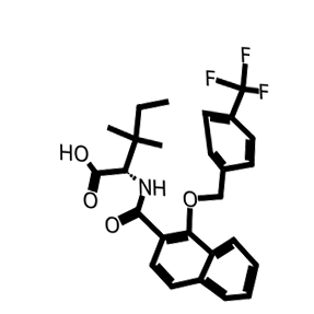 CCC(C)(C)[C@H](NC(=O)c1ccc2ccccc2c1OCc1ccc(C(F)(F)F)cc1)C(=O)O